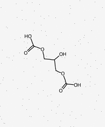 O=C(O)OCC(O)COC(=O)O